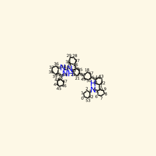 c1ccc(Nc2ccccc2-c2cccc(-c3ccc(-c4ccc5c(c4)c4ccccc4n5C4=Nc5ccccc5C(c5ccccc5)N4)cc3)c2)cc1